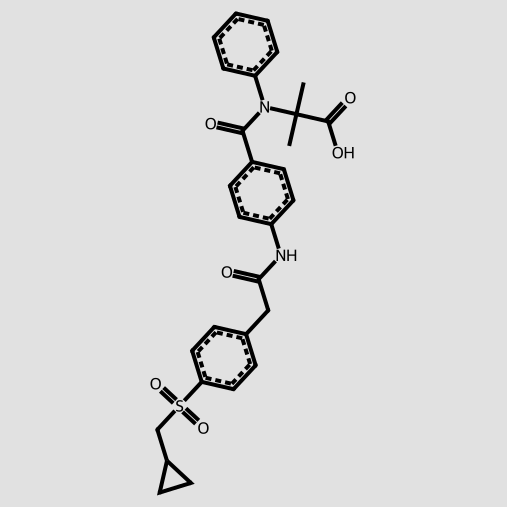 CC(C)(C(=O)O)N(C(=O)c1ccc(NC(=O)Cc2ccc(S(=O)(=O)CC3CC3)cc2)cc1)c1ccccc1